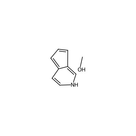 CO.c1cc2cc[nH]cc-2c1